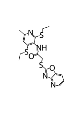 CCSc1cc(C)nc(SCC)c1NC(=O)CSc1nc2ncccc2o1